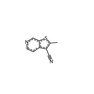 Cc1sc2cnccc2c1C#N